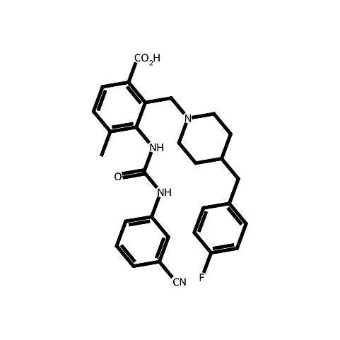 Cc1ccc(C(=O)O)c(CN2CCC(Cc3ccc(F)cc3)CC2)c1NC(=O)Nc1cccc(C#N)c1